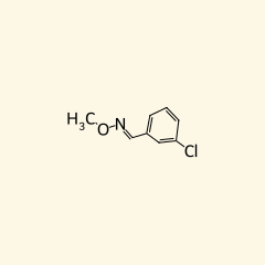 CO/N=C/c1cccc(Cl)c1